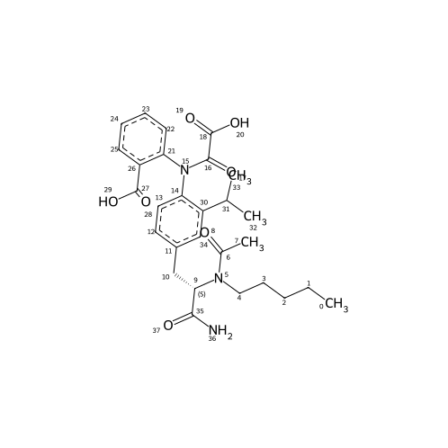 CCCCCN(C(C)=O)[C@@H](Cc1ccc(N(C(=O)C(=O)O)c2ccccc2C(=O)O)c(C(C)C)c1)C(N)=O